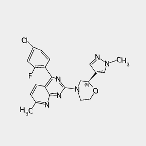 Cc1ccc2c(-c3ccc(Cl)cc3F)nc(N3CCO[C@H](c4cnn(C)c4)C3)nc2n1